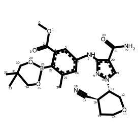 COC(=O)c1cc(Nc2nn([C@@H]3COCC[C@H]3C#N)cc2C(N)=O)cc(C)c1B1OCC(C)(C)CO1